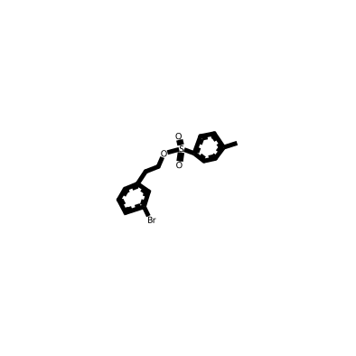 Cc1ccc(S(=O)(=O)OCCc2cccc(Br)c2)cc1